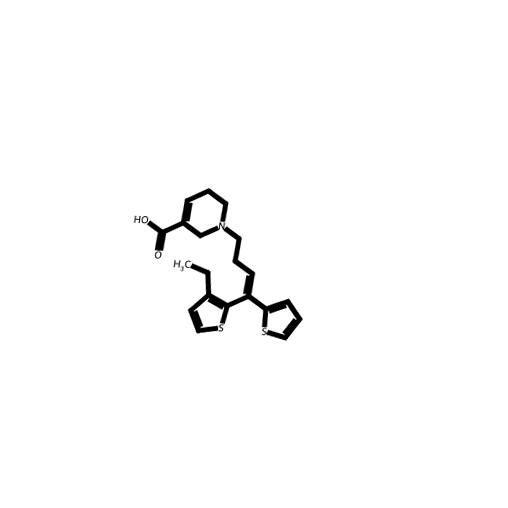 CCc1ccsc1C(=CCCN1CCC=C(C(=O)O)C1)c1cccs1